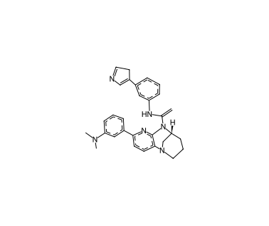 C=C(Nc1cccc(C2=CN=CC2)c1)N1c2nc(-c3cccc(N(C)C)c3)ccc2N2CCC[C@@H]1C2